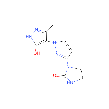 Cc1n[nH]c(O)c1-n1ccc(N2CCNC2=O)n1